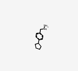 NNCc1ccc(C2CCCC2)cc1